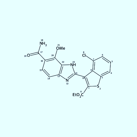 CCOC(=O)c1sc2cccc(Cl)c2c1-c1nc2ccc(C(N)=O)c(OC)c2[nH]1